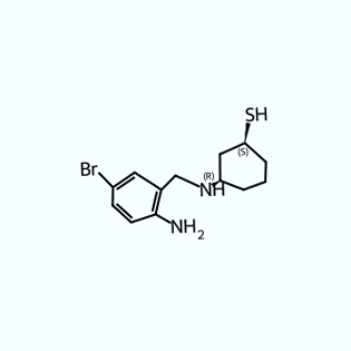 Nc1ccc(Br)cc1CN[C@@H]1CCC[C@H](S)C1